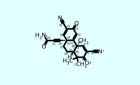 CC1(C)C(=O)C(C#N)=C[C@]2(C)C3=CC(=O)C(C#N)=C[C@@]3(C#CC(N)=O)CC[C@@H]12